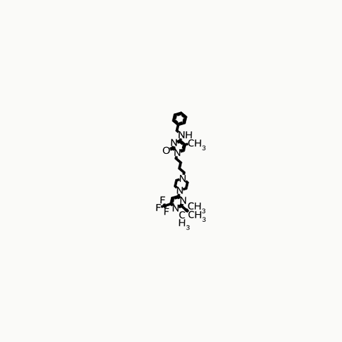 Cc1cn(CCCCN2CCN(c3cc(C(F)(F)F)nc(C(C)(C)C)n3)CC2)c(=O)nc1NCc1ccccc1